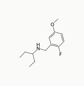 CCC(CC)NCc1cc(OC)ccc1F